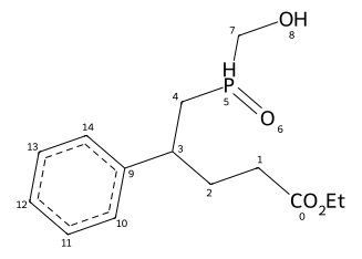 CCOC(=O)CCC(C[PH](=O)CO)c1ccccc1